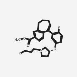 COC(=O)c1ccc2c(c1)CCCC=C2c1cc(O[C@@H]2CCN(CCCF)C2)ccc1F